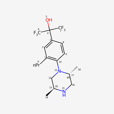 CCCc1cc(C(O)(C(F)(F)F)C(F)(F)F)ccc1N1C[C@H](C)NC[C@H]1C